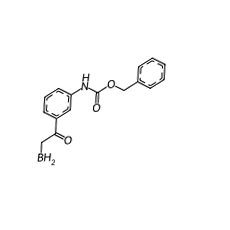 BCC(=O)c1cccc(NC(=O)OCc2ccccc2)c1